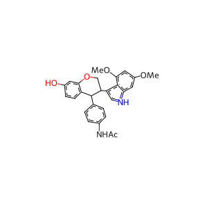 COc1cc(OC)c2c(C3COc4cc(O)ccc4C3c3ccc(NC(C)=O)cc3)c[nH]c2c1